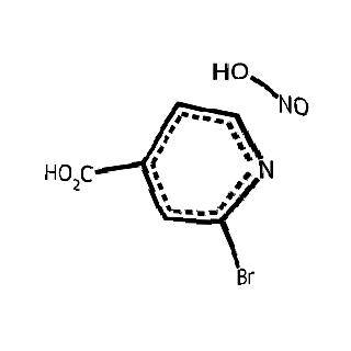 O=C(O)c1ccnc(Br)c1.O=NO